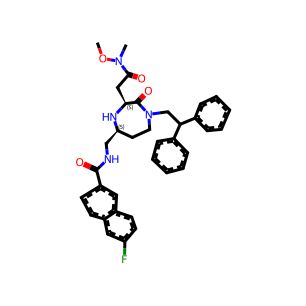 CON(C)C(=O)C[C@@H]1N[C@H](CNC(=O)c2ccc3cc(F)ccc3c2)CCN(CC(c2ccccc2)c2ccccc2)C1=O